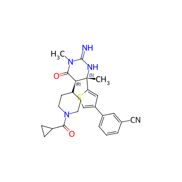 CN1C(=N)N[C@](C)(c2cc(-c3cccc(C#N)c3)cs2)[C@@H](C2CCN(C(=O)C3CC3)CC2)C1=O